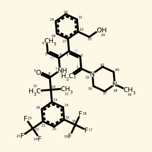 C=C(/C=C(\C(=C/C)NC(=O)C(C)(C)c1cc(C(F)(F)F)cc(C(F)(F)F)c1)c1ccccc1CO)N1CCN(C)CC1